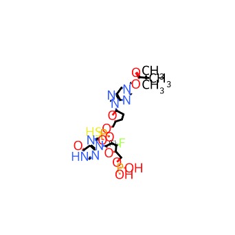 CC(C)(C)C(=O)OCN1C=Nc2c(ncn2C2CCC(COP(=O)(S)O[C@@H]3C(F)C(COP(O)O)OC3n3cnc4c(=O)[nH]cnc43)O2)C1